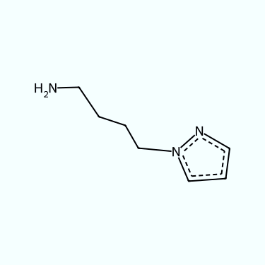 NCCCCn1cccn1